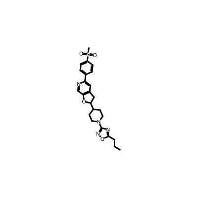 CCCc1nc(N2CCC(C3Cc4cc(-c5ccc(S(C)(=O)=O)cc5)ncc4O3)CC2)no1